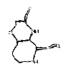 O=C=C1NCCC2OCC(=O)NC12